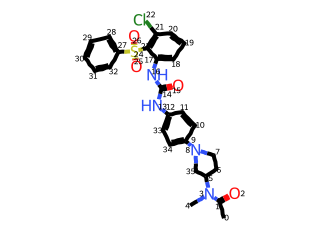 CC(=O)N(C)C1CCN(c2ccc(NC(=O)Nc3cccc(Cl)c3S(=O)(=O)c3ccccc3)cc2)C1